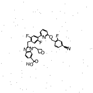 N#Cc1ccc(COc2cccc(-c3cc(F)c(Cc4nc5ccc(C(=O)O)cc5n4CC4COC4)cc3F)n2)c(F)c1